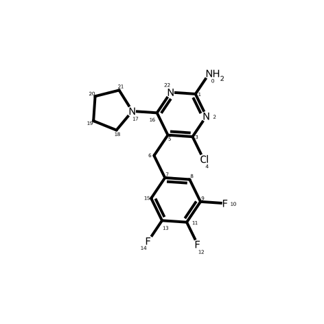 Nc1nc(Cl)c(Cc2cc(F)c(F)c(F)c2)c(N2CCCC2)n1